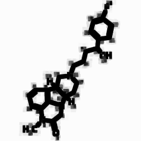 CN1C(=O)CN2c3c(cccc31)[C@@H]1CN(CCCC(O)c3ccc(F)cc3)CC[C@@H]12